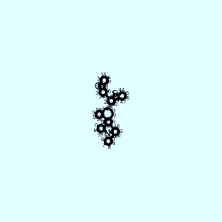 c1ccc(-n2c3ccccc3c3cccc(-c4ccc5c(c4)CC[C@H](c4cc(-c6ccc7oc8ccccc8c7c6)c6sc7ccccc7c6c4)Cc4ccccc4-5)c32)cc1